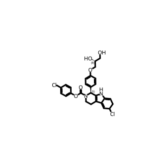 O=C(Oc1ccc(Cl)cc1)N1CCc2c([nH]c3c2=CC(Cl)CC=3)[C@@H]1c1ccc(OC[C@H](O)CO)cc1